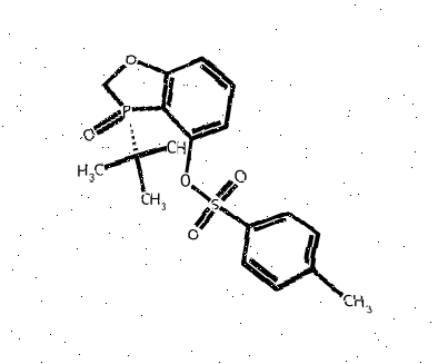 Cc1ccc(S(=O)(=O)Oc2cccc3c2[P@](=O)(C(C)(C)C)CO3)cc1